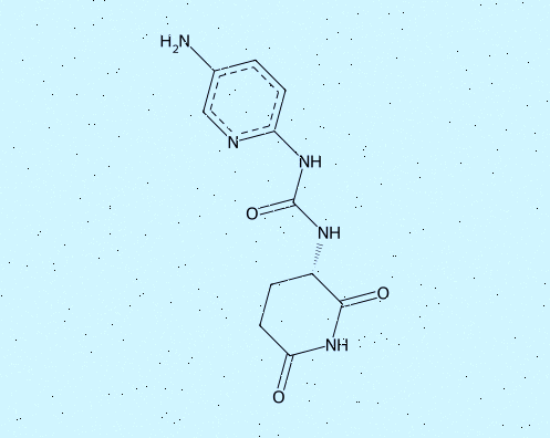 Nc1ccc(NC(=O)N[C@H]2CCC(=O)NC2=O)nc1